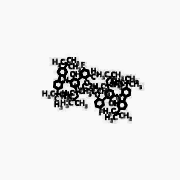 CC[Si](CC)(COc1ccc(F)cc1-c1cc(C(C)(C)CC(C)(C)C)cc(-n2c3cc(C(C)(C)C)ccc3c3ccc(C(C)(C)C)cc32)c1O)COc1c(C)cc(F)cc1-c1cc(C(C)(C)CC(C)(C)C)cc(-n2c3cc(C(C)(C)C)ccc3c3ccc(C(C)(C)C)cc32)c1O